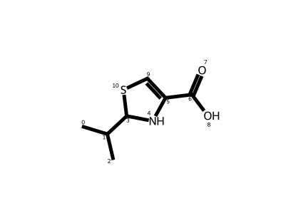 CC(C)C1NC(C(=O)O)=CS1